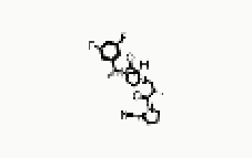 C[C@@H](CN1CC2C[C@H]1C(=O)N2[C@@H](C)c1cc(F)cc(F)c1)C(=O)N1CCC[C@H]1C#N